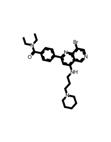 CCN(CC)C(=O)c1ccc(-c2cc(NCCCN3CCCCC3)c3cncc(Br)c3n2)cc1